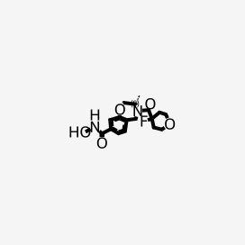 C[C@H]1COc2cc(C(=O)NO)ccc2CN1C(=O)C1(F)CCOCC1